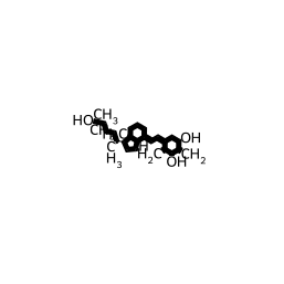 C=C1/C(=C\C=C2/CCCC3(C)[C@@H](C(C)CCCC(C)(C)O)CC[C@@H]23)C[C@@H](O)C(=C)C1O